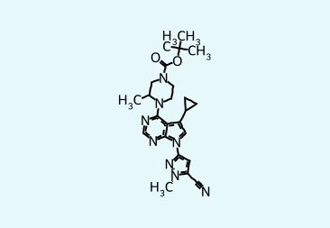 CC1CN(C(=O)OC(C)(C)C)CCN1c1ncnc2c1c(C1CC1)cn2-c1cc(C#N)n(C)n1